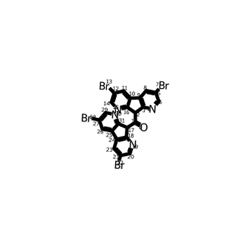 O=C(C1c2ncc(Br)cc2-c2cc(Br)cnc21)C1c2ncc(Br)cc2-c2cc(Br)cnc21